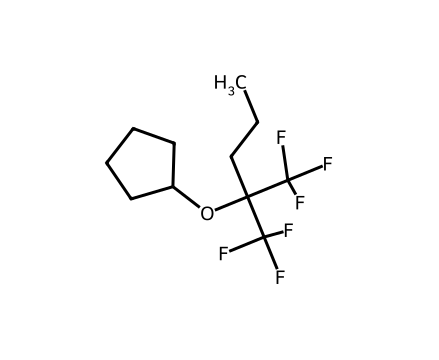 CCCC(OC1CCCC1)(C(F)(F)F)C(F)(F)F